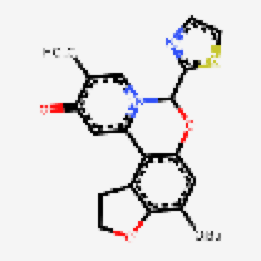 CC(C)COc1cc2c(c3c1OCC3)-c1cc(=O)c(C(=O)O)cn1C(c1nccs1)O2